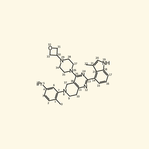 Cc1ccc(C(C)C)cc1N1CCc2nc(-c3cccc4[nH]cc(C)c34)nc(N3CCN(C4COC4)CC3)c2C1